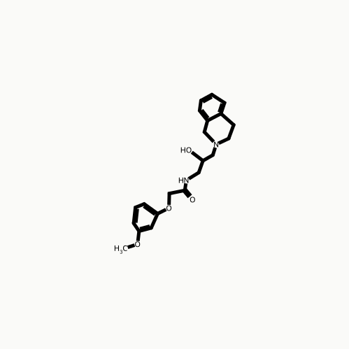 COc1cccc(OCC(=O)NCC(O)CN2CCc3ccccc3C2)c1